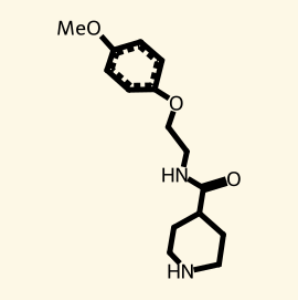 COc1ccc(OCCNC(=O)C2CCNCC2)cc1